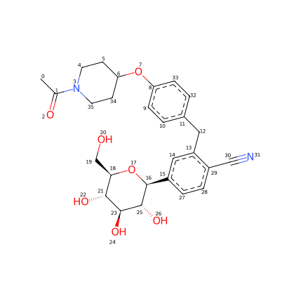 CC(=O)N1CCC(Oc2ccc(Cc3cc([C@@H]4O[C@H](CO)[C@@H](O)[C@H](O)[C@H]4O)ccc3C#N)cc2)CC1